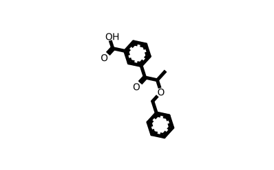 CC(OCc1ccccc1)C(=O)c1cccc(C(=O)O)c1